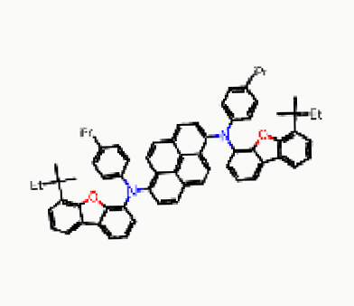 CCC(C)(C)c1cccc2c1oc1c(N(c3ccc(C(C)C)cc3)c3ccc4ccc5c(N(c6ccc(C(C)C)cc6)c6cccc7c6oc6c(C(C)(C)CC)cccc67)ccc6ccc3c4c65)cccc12